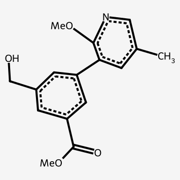 COC(=O)c1cc(CO)cc(-c2cc(C)cnc2OC)c1